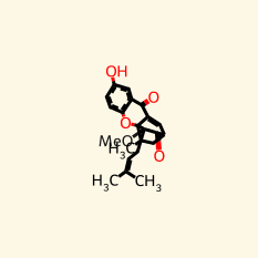 COC1(CC=C(C)C)C(=O)C2C=C3C(=O)c4cc(O)ccc4OC31C(C)C2